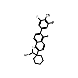 CCCC(CC)C1(c2ccc3c(F)c(-c4cc(F)c(C#N)c(F)c4)ccc3c2)CCCCC1